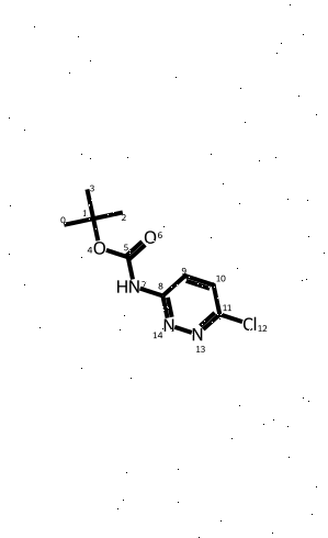 CC(C)(C)OC(=O)Nc1ccc(Cl)nn1